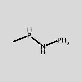 CPNP